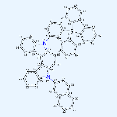 c1ccc([Si]2(c3cccc(-n4c5ccccc5c5c6c7ccccc7n(-c7ccc8ccccc8c7)c6ccc54)c3)c3ccccc3-c3ccccc32)cc1